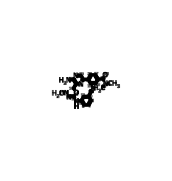 C=N/N=C(/Nc1cccc(C#N)c1)OCc1nc(-c2ccc(C(=O)N(C)C)cc2)cnc1N